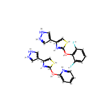 Fc1cccc(F)c1Oc1nc(-c2cn[nH]c2)cs1.c1ccc(Oc2nc(-c3cn[nH]c3)cs2)nc1